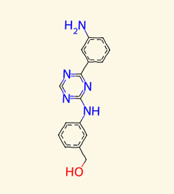 Nc1cccc(-c2ncnc(Nc3cccc(CO)c3)n2)c1